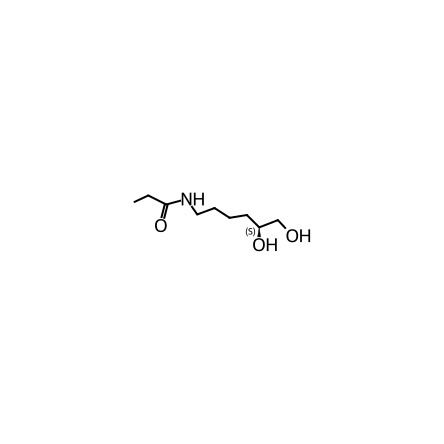 CCC(=O)NCCCC[C@H](O)CO